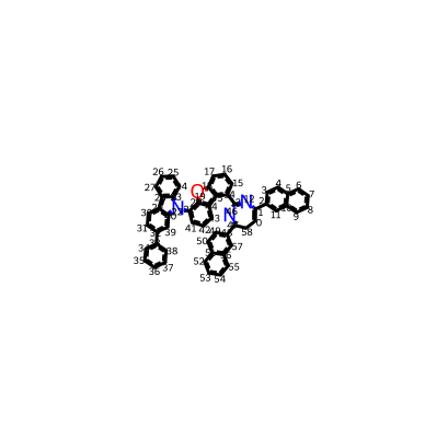 C1=C(c2ccc3ccccc3c2)N=C(c2cccc3oc4c(-n5c6ccccc6c6ccc(-c7ccccc7)cc65)cccc4c23)N=C(c2ccc3ccccc3c2)C1